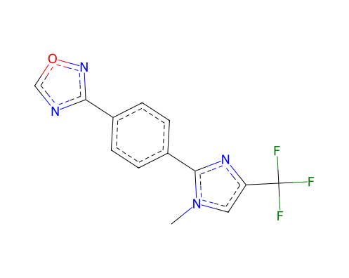 Cn1cc(C(F)(F)F)nc1-c1ccc(-c2ncon2)cc1